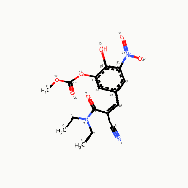 CCN(CC)C(=O)C(C#N)=Cc1cc(OC(=O)OC)c(O)c([N+](=O)[O-])c1